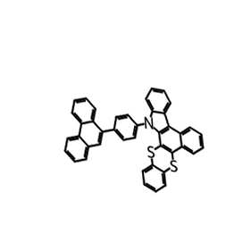 c1ccc2c(c1)Sc1c(c3c(c4ccccc14)c1ccccc1n3-c1ccc(-c3cc4ccccc4c4ccccc34)cc1)S2